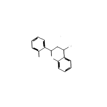 Cl.NC1CC(c2ccccc2Cl)Oc2ccccc21